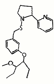 CCC(OC)C(CC)Oc1cccc(CSN2CCCC2c2ccccn2)c1